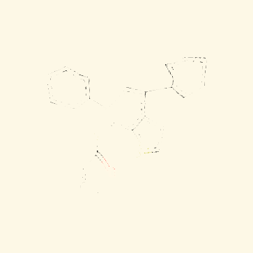 C=CC(=O)Sc1c(-c2ccccc2)cc(-c2ccccc2)c2ccsc12